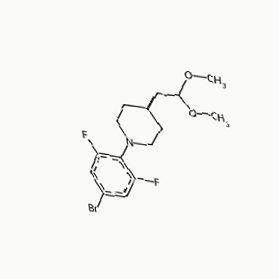 COC(CC1CCN(c2c(F)cc(Br)cc2F)CC1)OC